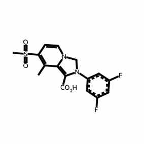 CC1=C(S(C)(=O)=O)C=CN2CN(c3cc(F)cc(F)c3)C(C(=O)O)=C12